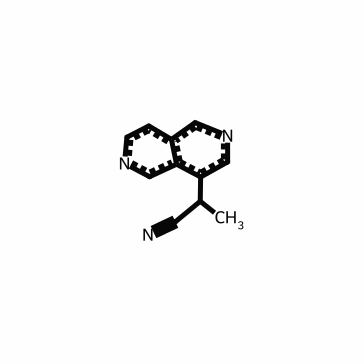 CC(C#N)c1cncc2ccncc12